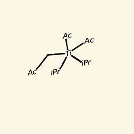 CC(=O)[CH2][Ti]([C](C)=O)([C](C)=O)([CH](C)C)[CH](C)C